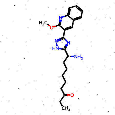 CCC(=O)CCCCC[C@H](N)c1nc(-c2cc3ccccc3nc2OC)n[nH]1